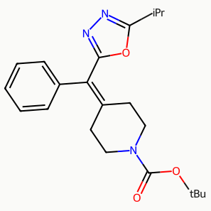 CC(C)c1nnc(C(=C2CCN(C(=O)OC(C)(C)C)CC2)c2ccccc2)o1